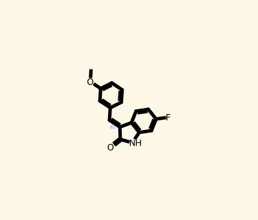 COc1cccc(/C=C2/C(=O)Nc3cc(F)ccc32)c1